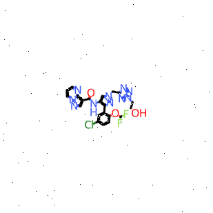 O=C(Nc1cn(Cc2nnn(CCO)n2)nc1-c1cc(Cl)ccc1OC(F)F)c1cnn2cccnc12